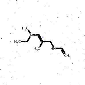 C=CNC/C(C)=C/N(C)CC